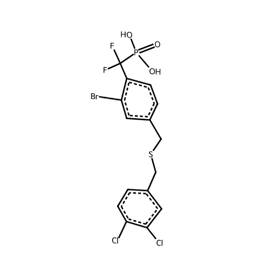 O=P(O)(O)C(F)(F)c1ccc(CSCc2ccc(Cl)c(Cl)c2)cc1Br